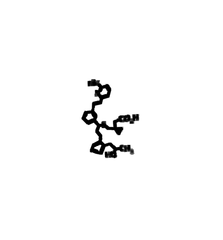 CCCCc1cccc(C=Cc2cccc(C(CCc3ccccc3CC(C)O)SCC3(CC(=O)O)CC3)c2)n1